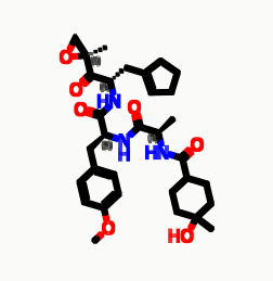 COc1ccc(C[C@H](NC(=O)[C@@H](C)NC(=O)C2CCC(C)(O)CC2)C(=O)N[C@@H](CC2=CCCC2)C(=O)[C@]2(C)CO2)cc1